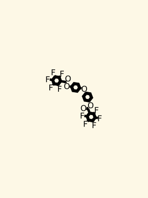 O=C(Oc1ccc(Oc2ccc(OC(=O)c3c(F)c(F)c(F)c(F)c3F)cc2)cc1)c1c(F)c(F)c(F)c(F)c1F